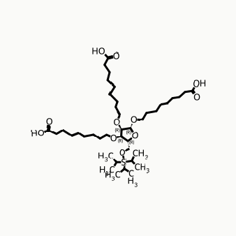 CC(C)[Si](OC[C@H]1O[C@@H](OCCCCCCCCC(=O)O)[C@H](OCCCCCCCCC(=O)O)[C@@H]1OCCCCCCCCC(=O)O)(C(C)C)C(C)C